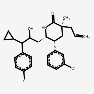 C=CC[C@@]1(C)C[C@H](c2cccc(Cl)c2)[C@H](CC(O)C(c2ccc(Cl)cc2)C2CC2)NC1=O